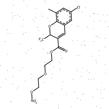 Cc1cc(Cl)cc2c1OC(C(F)(F)F)C(C(=O)OCCOCCO[N+](=O)[O-])=C2